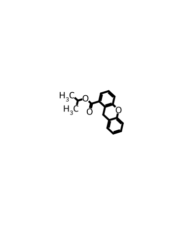 CC(C)OC(=O)c1cccc2c1Cc1ccccc1O2